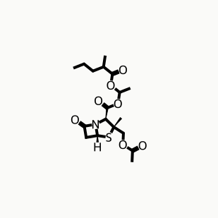 CCCC(C)C(=O)OC(C)OC(=O)[C@@H]1N2C(=O)C[C@H]2S[C@@]1(C)COC(C)=O